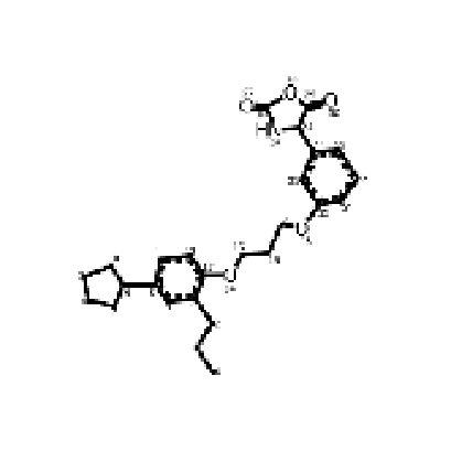 CCCc1cc(C2CCCC2)ccc1OCCCOc1cccc(C2NC(=O)OC2=O)c1